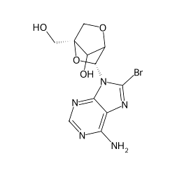 Nc1ncnc2c1nc(Br)n2[C@@H]1O[C@@]2(CO)COC1C2O